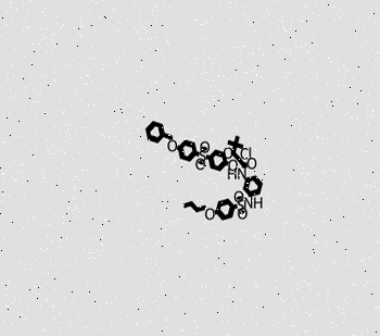 CCCCOc1ccc(S(=O)(=O)Nc2cccc(NC(=O)C(Cl)(Oc3ccc(S(=O)(=O)c4ccc(OCc5ccccc5)cc4)cc3)C(=O)C(C)(C)C)c2)cc1